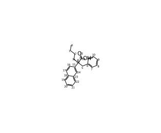 CCCC[C@](Cc1ccccc1)(C(=O)O)c1ccc2ccccc2c1